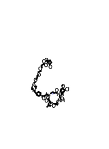 COc1ccc(C[C@H]2NC(=O)/C=C/C[C@@H]([C@H](C)[C@H]3O[C@@H]3c3ccc(CN4CCN(CCOCCOCCOCCC(=O)ON5C(=O)CCC5=O)CC4)cc3)OC(=O)[C@H](CC(C)C)OC(=O)C(C)(C)CNC2=O)cc1Cl